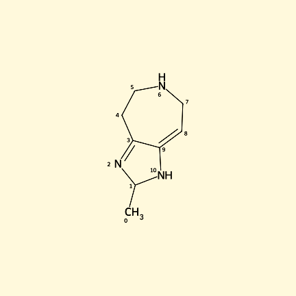 CC1N=C2CCNCC=C2N1